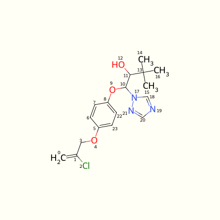 C=C(Cl)COc1ccc(OC(C(O)C(C)(C)C)n2cncn2)cc1